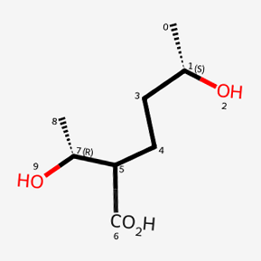 C[C@H](O)CCC(C(=O)O)[C@@H](C)O